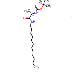 CCCCCCCCCCCCNC(=O)[C@H](C)NC(=O)OC(C)(C)C